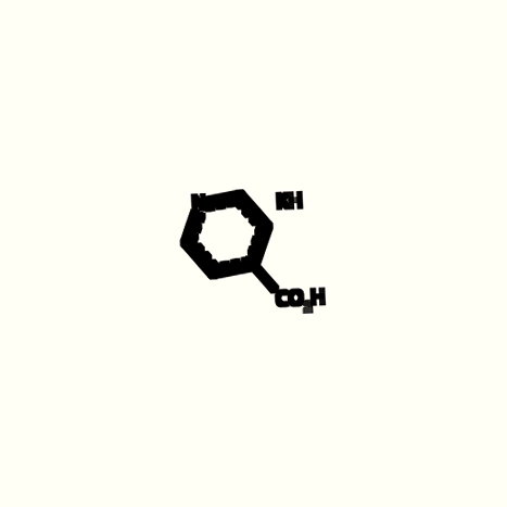 O=C(O)c1ccncc1.[KH]